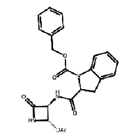 CC(=O)O[C@@H]1NC(=O)[C@H]1NC(=O)C1Cc2ccccc2N1C(=O)OCc1ccccc1